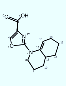 O=C(O)c1coc(N2CCCC3CCCC=C32)n1